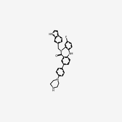 O=C1c2cc(-c3ccc(N4CCNCC4)cc3)ccc2Nc2ccc(F)cc2N1Cc1ccc2cc[nH]c2c1